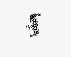 CNS(=O)(=O)Nc1cccc(Cc2c(C)c3ccc(Oc4ncc(Br)s4)cc3oc2=O)c1F